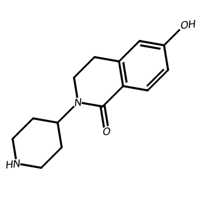 O=C1c2ccc(O)cc2CCN1C1CCNCC1